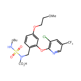 CCCCNS(=O)(=O)N(Cc1ccc(OCCOC)cc1Oc1ncc(C(F)(F)F)cc1Cl)C(=O)O